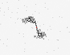 CCC(CCCCCCC(=O)OC1CC(C)(C)NC(C)(C)C1)CC(=O)OC1CC(C)(C)NC(C)(C)C1